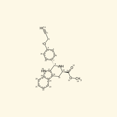 C#CCOc1ccc([C@@H]2N[C@@H](C(=O)OC)Cc3c2[nH]c2ccccc32)cc1